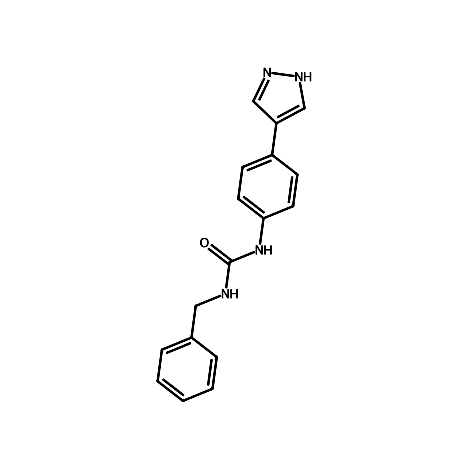 O=C(NCc1ccccc1)Nc1ccc(-c2cn[nH]c2)cc1